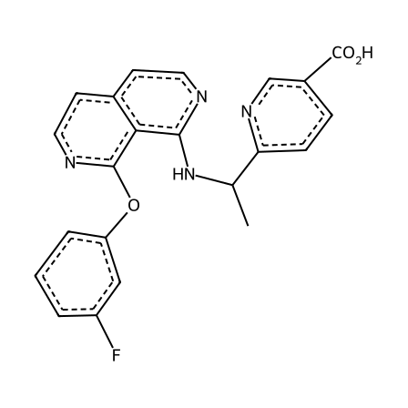 CC(Nc1nccc2ccnc(Oc3cccc(F)c3)c12)c1ccc(C(=O)O)cn1